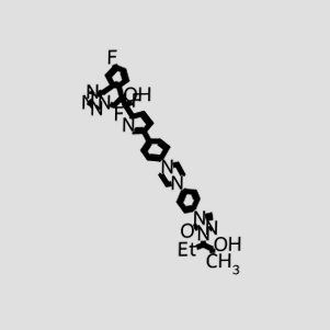 CCC(C(C)O)n1ncn(-c2ccc(N3CCN(c4ccc(-c5ccc(C(F)(F)[C@]6(O)Cn7nnnc7-c7cc(F)ccc76)nc5)cc4)CC3)cc2)c1=O